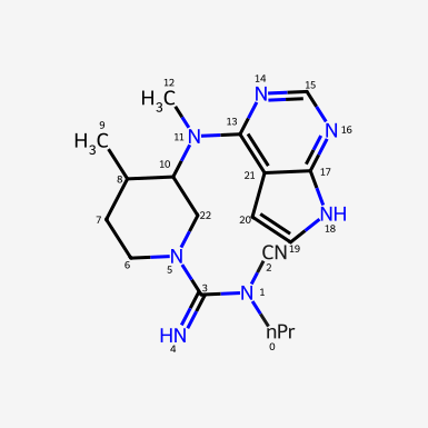 CCCN(C#N)C(=N)N1CCC(C)C(N(C)c2ncnc3[nH]ccc23)C1